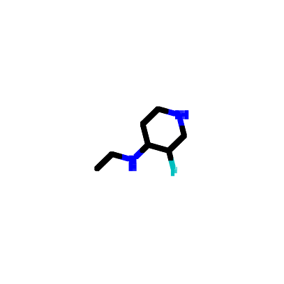 CCNC1CCNCC1F